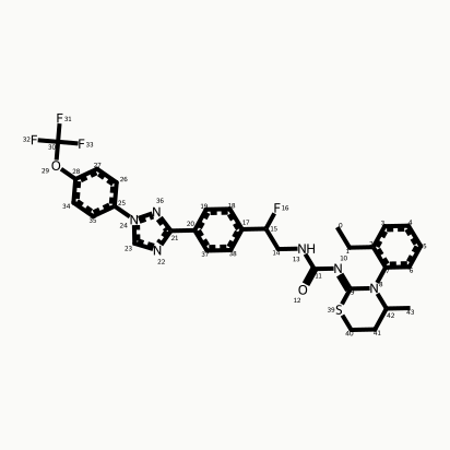 CCc1ccccc1N1/C(=N/C(=O)NCC(F)c2ccc(-c3ncn(-c4ccc(OC(F)(F)F)cc4)n3)cc2)SCCC1C